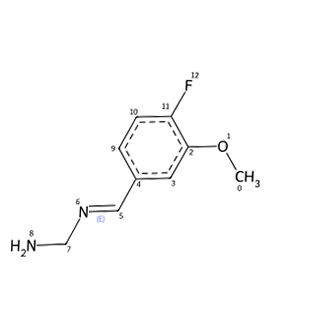 COc1cc(/C=N/CN)ccc1F